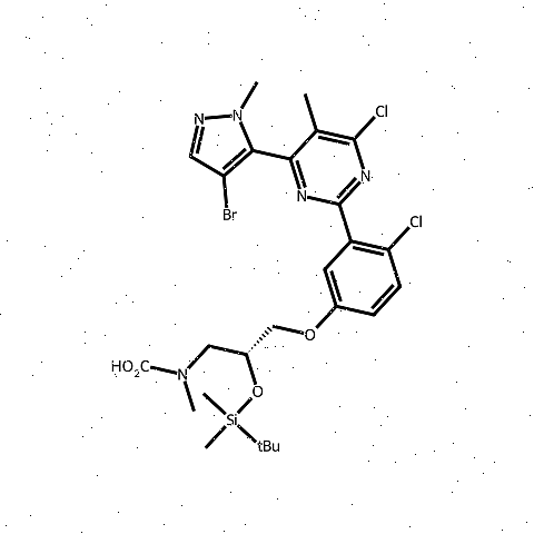 Cc1c(Cl)nc(-c2cc(OC[C@@H](CN(C)C(=O)O)O[Si](C)(C)C(C)(C)C)ccc2Cl)nc1-c1c(Br)cnn1C